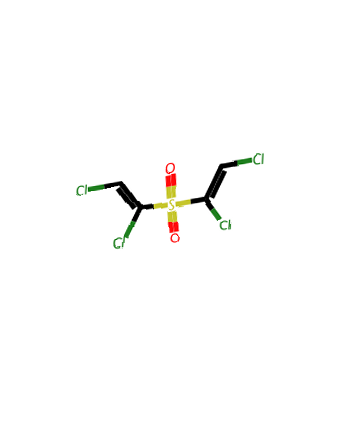 O=S(=O)(C(Cl)=CCl)C(Cl)=CCl